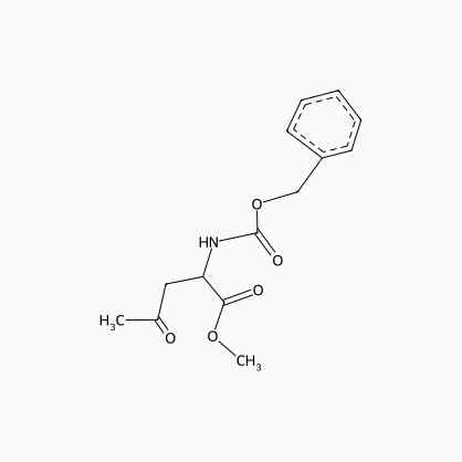 COC(=O)C(CC(C)=O)NC(=O)OCc1ccccc1